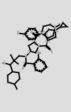 CC1CCC(C(O)C(C)(C)CN(C(=O)c2ccccc2O)[C@H]2C[C@@H](C(=O)N3CCN(C)CC3)N(C(=O)[C@@H]3CN(C4CC4)C[C@H]3c3ccc(Cl)cc3)C2)CC1